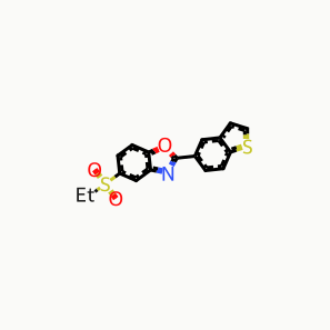 CCS(=O)(=O)c1ccc2oc(-c3ccc4sccc4c3)nc2c1